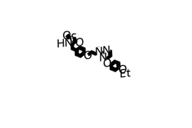 CCOc1ccc(Oc2ccnc(N(C)CCOc3ccc(CC4NC(=O)SC4=O)cc3)n2)cc1